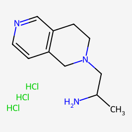 CC(N)CN1CCc2cnccc2C1.Cl.Cl.Cl